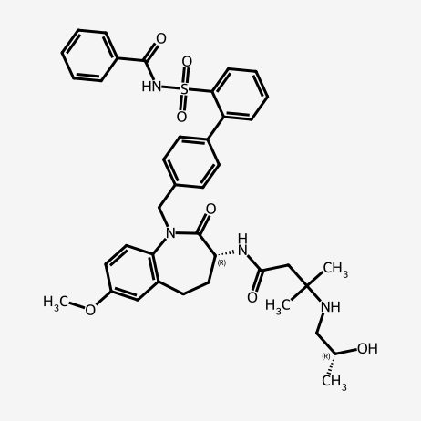 COc1ccc2c(c1)CC[C@@H](NC(=O)CC(C)(C)NC[C@@H](C)O)C(=O)N2Cc1ccc(-c2ccccc2S(=O)(=O)NC(=O)c2ccccc2)cc1